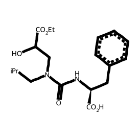 CCOC(=O)C(O)CN(CC(C)C)C(=O)N[C@@H](Cc1ccccc1)C(=O)O